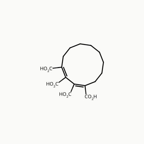 O=C(O)/C1=C(C(=O)O)/C(C(=O)O)=C(/C(=O)O)CCCCCCCC1